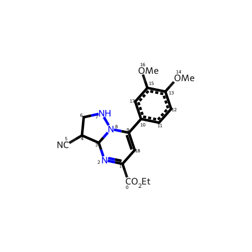 CCOC(=O)C1=NC2C(C#N)CNN2C(c2ccc(OC)c(OC)c2)=C1